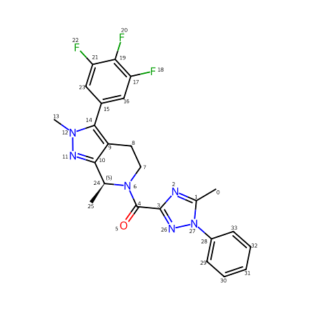 Cc1nc(C(=O)N2CCc3c(nn(C)c3-c3cc(F)c(F)c(F)c3)[C@@H]2C)nn1-c1ccccc1